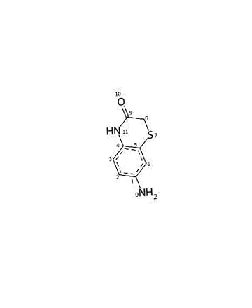 Nc1ccc2c(c1)SCC(=O)N2